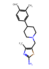 Cc1cc(C2CCN(Cc3sc(N)nc3C(F)(F)F)CC2)ccc1C=O